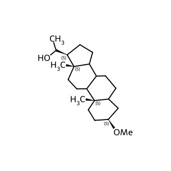 CO[C@H]1CC[C@@]2(C)C(CCC3C2CC[C@@]2(C)C3CC[C@@H]2C(C)O)C1